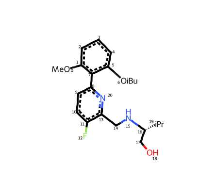 COc1cccc(OCC(C)C)c1-c1ccc(F)c(CN[C@@H](CO)C(C)C)n1